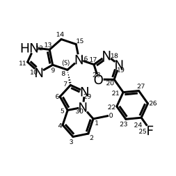 Cc1cccc2cc([C@@H]3c4nc[nH]c4CCN3c3nnc(-c4ccc(F)cc4)o3)nn12